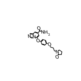 NC(=O)c1cc(Oc2ccc(OCCCN3CCCC3=O)cc2)n2cncc2c1